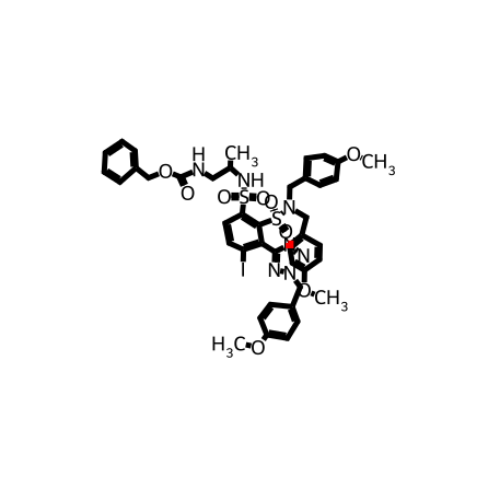 COc1ccc(CN(Cc2ccc(OC)cc2)S(=O)(=O)c2c(S(=O)(=O)NC(C)CNC(=O)OCc3ccccc3)ccc(I)c2-c2nnn(Cc3ccc(OC)cc3)n2)cc1